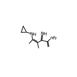 C=C(CCC)C(=N)/C(C)=C(/C)NC1CC1